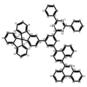 c1ccc(-c2nc(-c3ccccc3)nc(-c3cc(-c4ccc5c(c4)-c4ccccc4C54c5ccccc5-c5ccccc54)cc(-c4ccc(-c5nc6ccccc6c6ccccc56)c5ccccc45)c3)n2)cc1